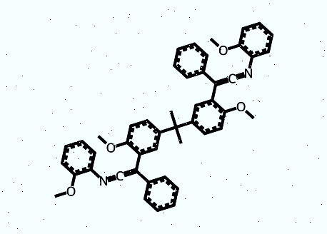 COc1ccccc1N=C=C(c1ccccc1)c1cc(C(C)(C)c2ccc(OC)c(C(=C=Nc3ccccc3OC)c3ccccc3)c2)ccc1OC